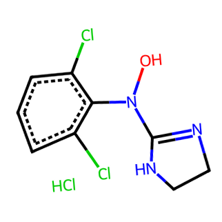 Cl.ON(C1=NCCN1)c1c(Cl)cccc1Cl